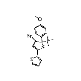 COc1ccc(C2(C(C)(C)C)SC(c3cccs3)=CC2Br)cc1